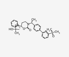 C=S(C)(=O)c1cccc(-c2ccc([C@H](C)N3CC[C@](CC(C)(C)O)(c4ccccc4)OC3=O)cc2)n1